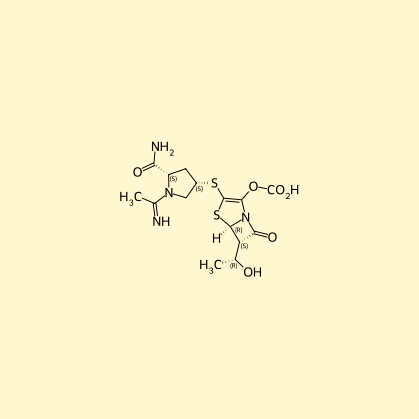 CC(=N)N1C[C@@H](SC2=C(OC(=O)O)N3C(=O)[C@H]([C@@H](C)O)[C@H]3S2)C[C@H]1C(N)=O